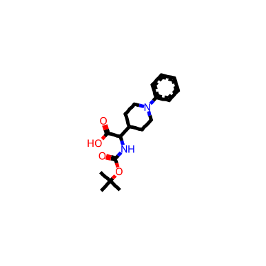 CC(C)(C)OC(=O)NC(C(=O)O)C1CCN(c2ccccc2)CC1